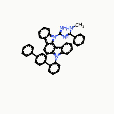 CN/C(=N\C(=N)n1c2ccccc2c2ccc3c(c4ccccc4n3-c3ccccc3-c3ccc(-c4ccccc4)cc3)c21)c1ccccc1